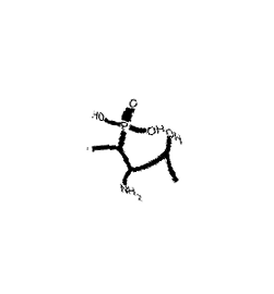 [CH2]C(C(N)C(C)O)P(=O)(O)O